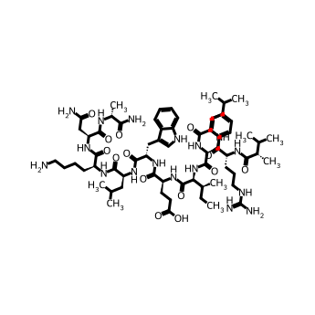 CC[C@H](C)[C@H](NC(=O)[C@H](Cc1ccccc1)NC(=O)[C@H](CCC(C)C)NC(=O)[C@@H](CCCNC(=N)N)NC(=O)[C@@H](C)C(C)C)C(=O)N[C@@H](CCC(=O)O)C(=O)N[C@@H](Cc1c[nH]c2ccccc12)C(=O)N[C@@H](CC(C)C)C(=O)N[C@@H](CCCCN)C(=O)N[C@@H](CC(N)=O)C(=O)N[C@H](C)C(N)=O